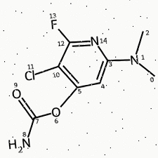 CN(C)c1cc(OC(N)=O)c(Cl)c(F)n1